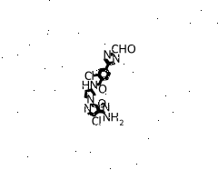 Nc1noc2c(N3CC[C@@H](NC(=O)c4ccc(-c5cnc(C=O)nc5)cc4Cl)C3)ncc(Cl)c12